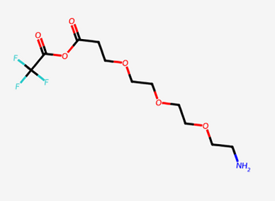 NCCOCCOCCOCCC(=O)OC(=O)C(F)(F)F